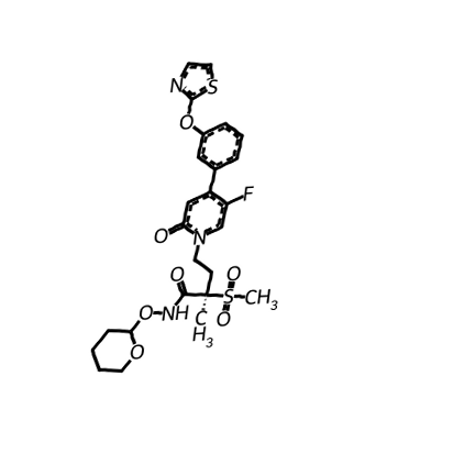 C[C@@](CCn1cc(F)c(-c2cccc(Oc3nccs3)c2)cc1=O)(C(=O)NOC1CCCCO1)S(C)(=O)=O